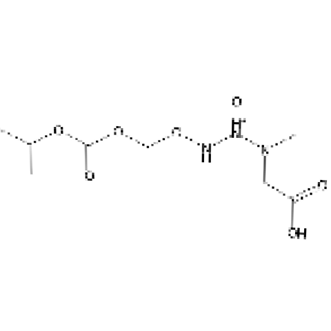 CC(C)OC(=O)OCON[NH+]([O-])N(C)CC(=O)O